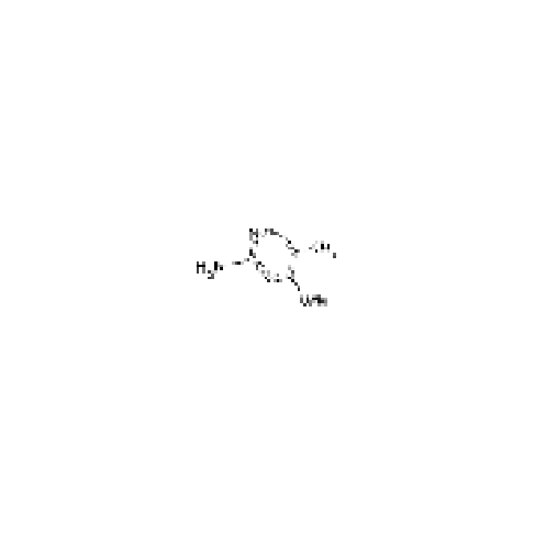 COc1cc(N)ncc1C